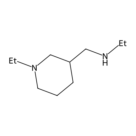 CCNCC1CCCN(CC)C1